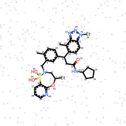 CCC1CN(Cc2cc(C(CC(=O)NC3CCCC3)c3ccc4c(nnn4CC)c3C)ccc2C)S(O)(O)c2cccnc2O1